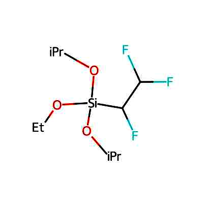 CCO[Si](OC(C)C)(OC(C)C)C(F)C(F)F